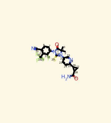 CC1(C)C(=O)N(c2ccc(C#N)c(C(F)(F)F)c2F)C(=S)N1c1ccc(C2CC2C(N)=O)nc1